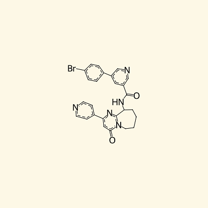 O=C(NC1CCCCn2c1nc(-c1ccncc1)cc2=O)c1cncc(-c2ccc(Br)cc2)c1